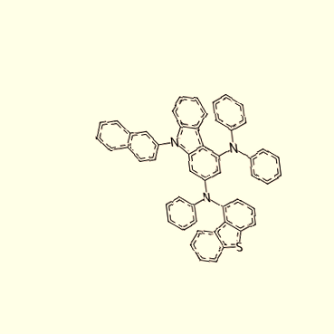 c1ccc(N(c2cc(N(c3ccccc3)c3ccccc3)c3c4ccccc4n(-c4ccc5ccccc5c4)c3c2)c2cccc3sc4ccccc4c23)cc1